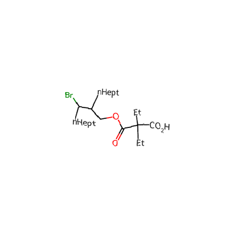 CCCCCCCC(Br)C(CCCCCCC)COC(=O)C(CC)(CC)C(=O)O